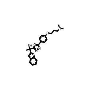 CN(C)CCCOc1ccc(-c2nnc(C(C)(S)c3cc4ccccc4s3)o2)cc1